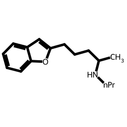 CCCNC(C)CCCc1cc2ccccc2o1